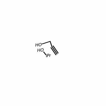 C#CCO.CC(C)O